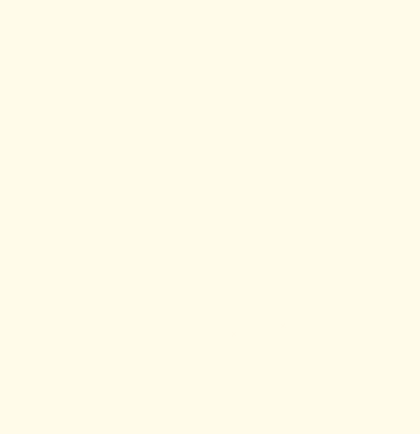 c1ccc(-c2cccc3c2ccc2cc4ccccc4cc23)cc1